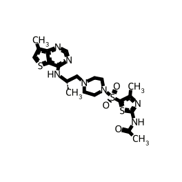 CC(=O)Nc1nc(C)c(S(=O)(=O)N2CCN(C[C@H](C)Nc3ncnc4c(C)csc34)CC2)s1